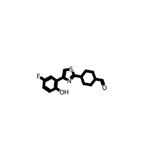 O=CC1CCC(c2nc(-c3cc(F)ccc3O)cs2)CC1